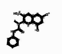 CN(C(=O)Nc1ccccc1)c1nc2c(Cl)cc(Cl)cc2cc1C(=O)O